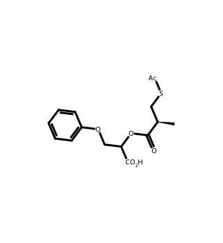 CC(=O)SC[C@@H](C)C(=O)OC(COc1ccccc1)C(=O)O